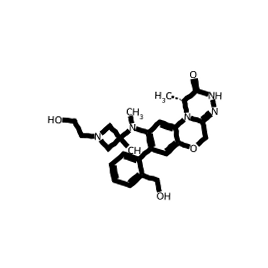 C[C@@H]1C(=O)NN=C2COc3cc(-c4ccccc4CO)c(N(C)C4(C)CN(CCO)C4)cc3N21